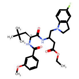 CCOC(=O)CC(CN1CCc2cc(F)ccc21)NC(=O)[C@H](CC(C)(C)C)NC(=O)c1cccc(OC)c1